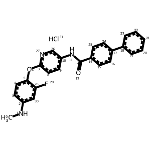 CNc1ccc(Oc2ccc(NC(=O)c3ccc(-c4ccccc4)cc3)cn2)c(F)c1.Cl